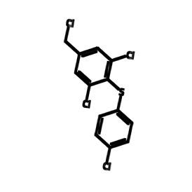 ClCc1cc(Cl)c(Sc2ccc(Cl)cc2)c(Cl)c1